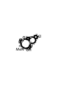 CN[C@@H]1C[C@@H](O)[C@@H]2CC[C@H]2CN2CCCCc3cc(Cl)ccc3COc3ccc(cc32)C(=O)NS(=O)(=O)[C@H](C)[C@@H](C)C1